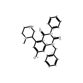 CN1CCNCC1c1cc(Cl)cc2c1c(=O)n(-c1ccccc1)c(=O)n2Cc1ccccc1